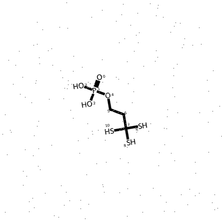 O=P(O)(O)OCCC(S)(S)S